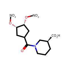 O=C(O)[C@H]1CCCN(C(=O)C2C[C@H](O[N+](=O)[O-])[C@H](O[N+](=O)[O-])C2)C1